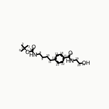 CC(C)(C)OC(=O)NCCCCc1ccc(C(=O)NCCO)cc1